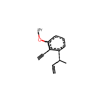 C#Cc1c(OC(C)C)cccc1[C](C)C=C